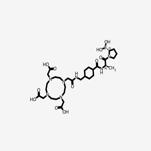 C[C@@H](NC(=O)C1CCC(CNC(=O)CN2CCN(CC(=O)O)CCN(CC(=O)O)CCN(CC(=O)O)CC2)CC1)C(=O)N1CCC[C@H]1B(O)O